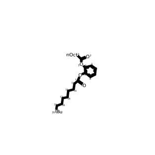 CCCCCCCCC(=O)Oc1ccccc1OC(=O)CCCCCCCC(C)(C)C